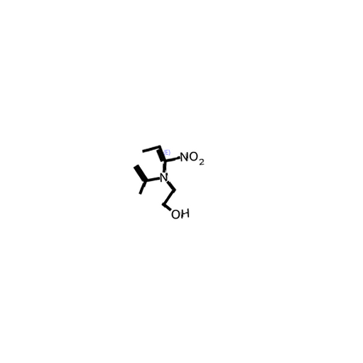 C=C(C)N(CCO)/C(=C\C)[N+](=O)[O-]